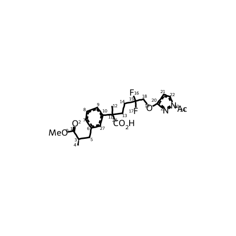 COC(=O)[C@H](C)Cc1cccc(C(C)(CCC(F)(F)COc2ccn(C(C)=O)n2)C(=O)O)c1